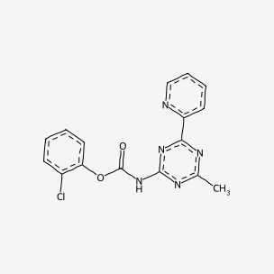 Cc1nc(NC(=O)Oc2ccccc2Cl)nc(-c2ccccn2)n1